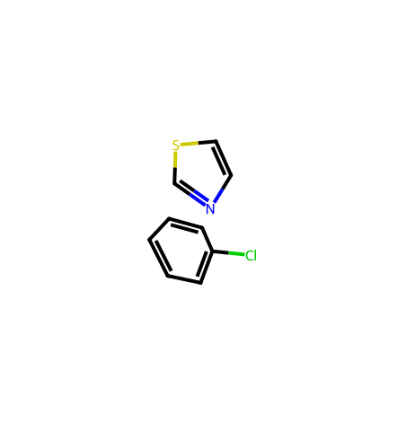 Clc1ccccc1.c1cscn1